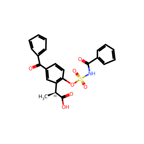 C[C@H](C(=O)O)c1cc(C(=O)c2ccccc2)ccc1OS(=O)(=O)NC(=O)c1ccccc1